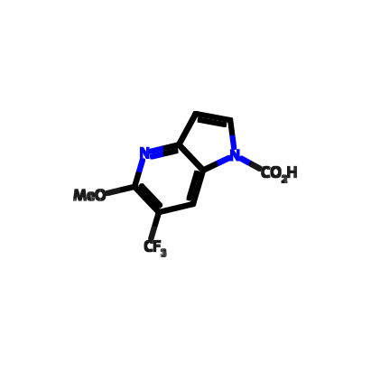 COc1nc2ccn(C(=O)O)c2cc1C(F)(F)F